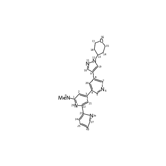 CNc1cc(-c2cncc(-c3cnn(C4CCOCC4)c3)c2)cc(-c2ccccn2)n1